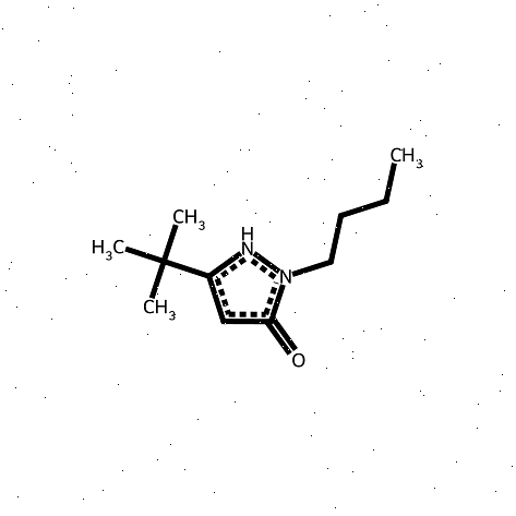 CCCCn1[nH]c(C(C)(C)C)cc1=O